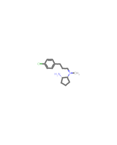 CN(CCCc1ccc(Cl)cc1)[C@H]1CCC[C@@H]1N